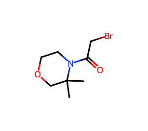 CC1(C)COCCN1C(=O)CBr